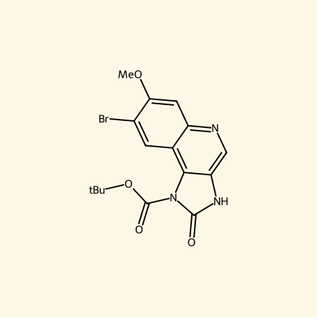 COc1cc2ncc3[nH]c(=O)n(C(=O)OC(C)(C)C)c3c2cc1Br